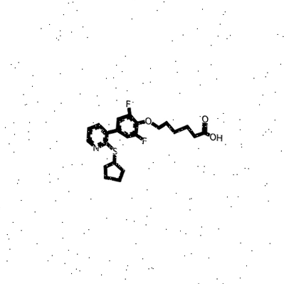 O=C(O)CCCCCOc1c(F)cc(-c2cccnc2SC2CCCC2)cc1F